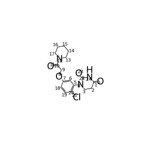 O=C1CCN(c2cc(OCC(=O)N3CCCCC3)ccc2Cl)C(=O)N1